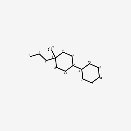 CCCC1(Cl)CCC(C2CCCCC2)CC1